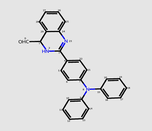 O=CC1NC(c2ccc(N(c3ccccc3)c3ccccc3)cc2)=Nc2ccccc21